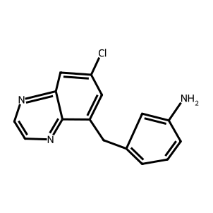 Nc1cccc(Cc2cc(Cl)cc3nccnc23)c1